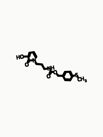 CSc1ccc(COC(=O)NCCCn2cccc(O)c2=O)cc1